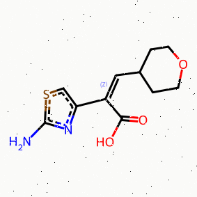 Nc1nc(/C(=C/C2CCOCC2)C(=O)O)cs1